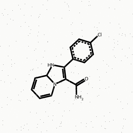 NC(=O)C1=C(c2ccc(Cl)cc2)NC2C=CC=CN12